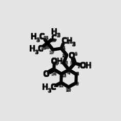 CC(CCC1(C(=O)O)CCCC(C)C1C(=O)O)CC(C)(C)C